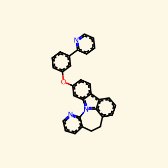 c1ccc(-c2cccc(Oc3ccc4c5cccc6c5n(c4c3)-c3ncccc3CC6)c2)nc1